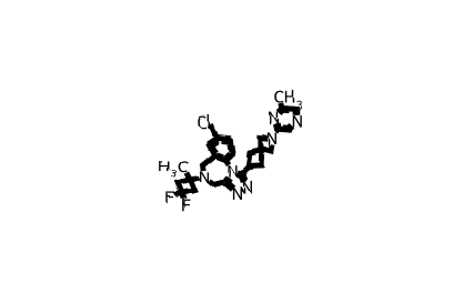 Cc1cncc(N2CC3(CC(c4nnc5n4-c4ccc(Cl)cc4CN(C4(C)CC(F)(F)C4)C5)C3)C2)n1